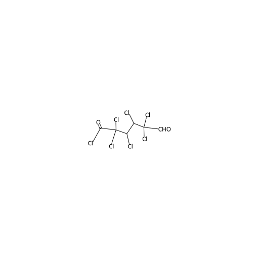 O=CC(Cl)(Cl)C(Cl)C(Cl)C(Cl)(Cl)C(=O)Cl